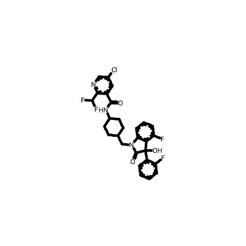 O=C(NC1CCC(CN2C(=O)C(O)(c3ccccc3F)c3c(F)cccc32)CC1)c1cc(Cl)cnc1C(F)F